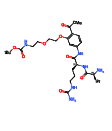 COC(=O)c1ccc(NC(=O)[C@H](CCCNC(N)=O)NC(=O)[C@@H](N)C(C)C)cc1OCCOCCNC(=O)OC(C)(C)C